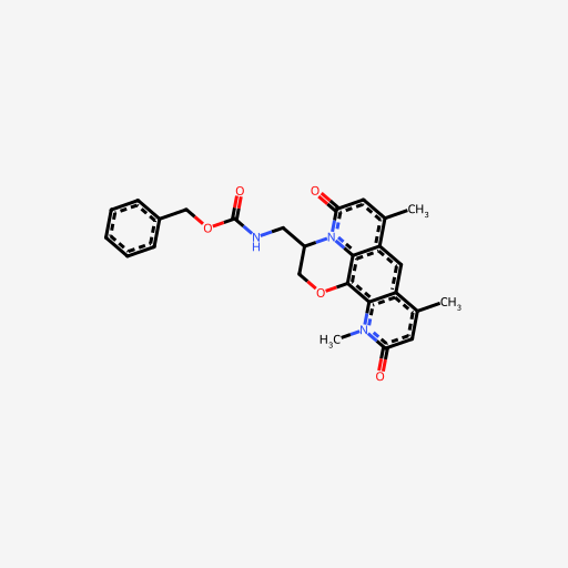 Cc1cc(=O)n(C)c2c3c4c(cc12)c(C)cc(=O)n4C(CNC(=O)OCc1ccccc1)CO3